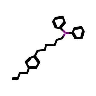 C=CCCc1ccc(CCCCCCP(c2ccccc2)c2ccccc2)cc1